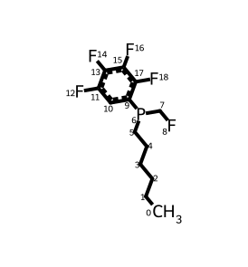 CCCCCCP(CF)c1cc(F)c(F)c(F)c1F